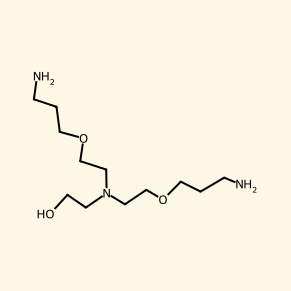 NCCCOCCN(CCO)CCOCCCN